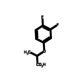 CC(Oc1ccc(F)c(F)c1)C(=O)O